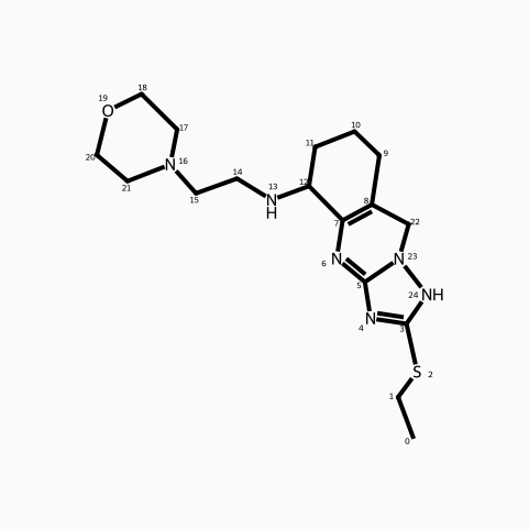 CCSC1=NC2=NC3=C(CCCC3NCCN3CCOCC3)CN2N1